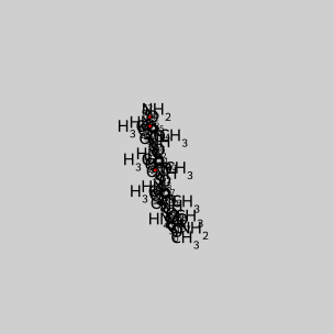 COc1ccc(NC(=O)CNC(=O)c2c(OC)ccc(NC(=O)CNC(=O)c3c(OC)ccc(NC(=O)CNC(=O)c4c(OC)ccc(NC(=O)CN)c4OC)c3OC)c2OC)c(OC)c1C(N)=O